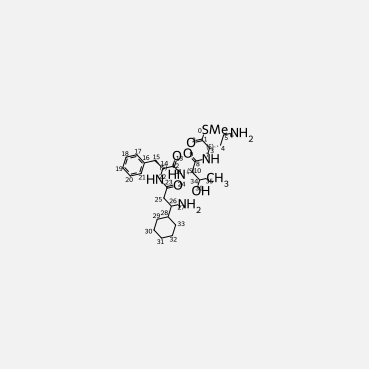 CSC(=O)[C@H](CCN)NC(=O)[C@@H](NC(=O)[C@H](Cc1ccccc1)NC(=O)CC(N)C1CCCCC1)C(C)O